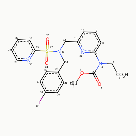 CC(C)(C)OC(=O)N(CC(=O)O)c1cccc(CN(Cc2ccc(I)cc2)S(=O)(=O)c2ccccn2)n1